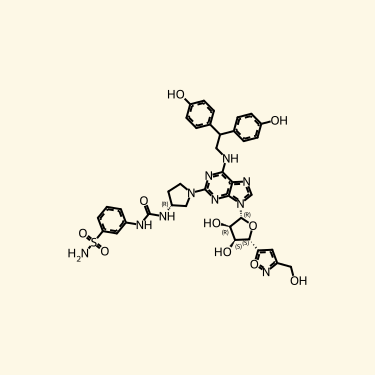 NS(=O)(=O)c1cccc(NC(=O)N[C@@H]2CCN(c3nc(NCC(c4ccc(O)cc4)c4ccc(O)cc4)c4ncn([C@@H]5O[C@H](c6cc(CO)no6)[C@@H](O)[C@H]5O)c4n3)C2)c1